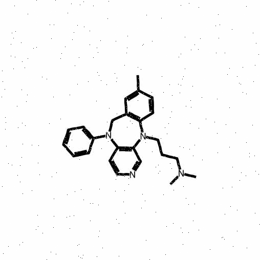 Cc1ccc2c(c1)CN(c1ccccc1)c1ccncc1N2CCCN(C)C